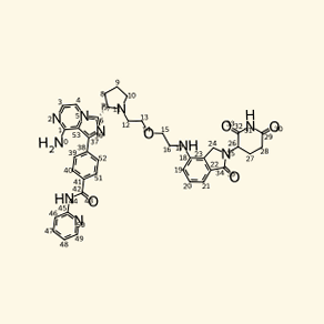 Nc1nccn2c([C@@H]3CCCN3CCOCCNc3cccc4c3CN(C3CCC(=O)NC3=O)C4=O)nc(-c3ccc(C(=O)Nc4ccccn4)cc3)c12